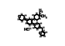 CC1(C)CCC(c2cc(N3CCOCC3)ccc2N2CCN(Cc3ccco3)CC2)CC1.Cl